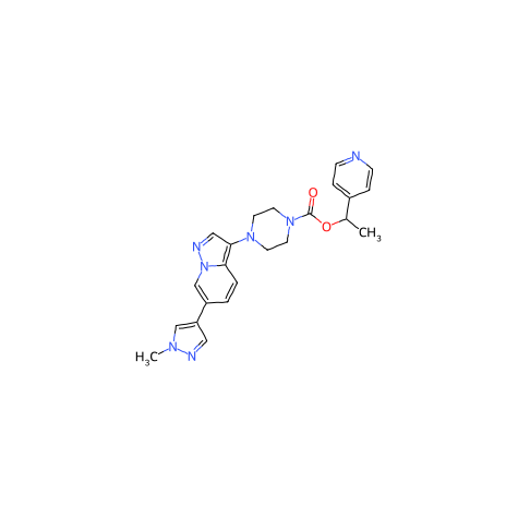 CC(OC(=O)N1CCN(c2cnn3cc(-c4cnn(C)c4)ccc23)CC1)c1ccncc1